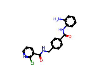 Nc1ccccc1NC(=O)c1ccc(CNC(=O)c2cccnc2Cl)cc1